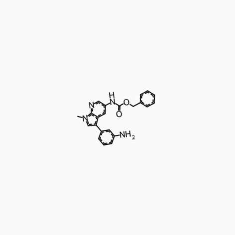 Cn1cc(-c2cccc(N)c2)c2cc(NC(=O)OCc3ccccc3)cnc21